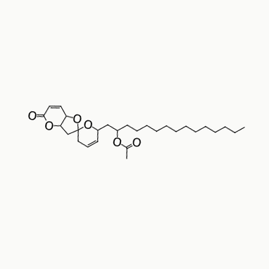 CCCCCCCCCCCCCC(CC1C=CCC2(CC3OC(=O)C=CC3O2)O1)OC(C)=O